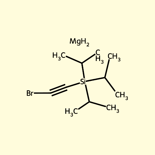 CC(C)[Si](C#CBr)(C(C)C)C(C)C.[MgH2]